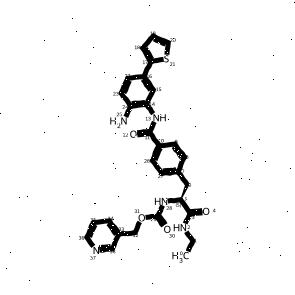 CCNC(=O)[C@H](Cc1ccc(C(=O)Nc2cc(-c3cccs3)ccc2N)cc1)NC(=O)OCc1cccnc1